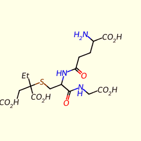 CCC(CC(=O)O)(SCC(NC(=O)CCC(N)C(=O)O)C(=O)NCC(=O)O)C(=O)O